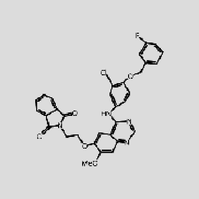 COc1cc2ncnc(Nc3ccc(OCc4cccc(F)c4)c(Cl)c3)c2cc1OCCN1C(=O)c2ccccc2C1=O